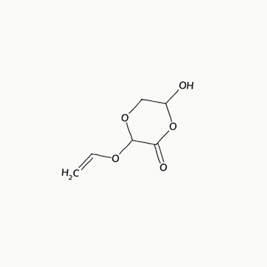 C=COC1OCC(O)OC1=O